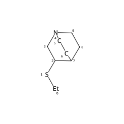 CCSC1CN2CCC1CC2